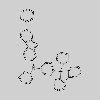 c1ccc(-c2ccc3c(c2)sc2cc(N(c4ccccc4)c4ccc(C5(c6ccccc6)c6ccccc6-c6ccccc65)cc4)ccc23)cc1